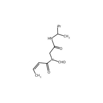 C/C=C\C(=O)N(C=O)CC(=O)NC(C)C(C)C